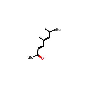 CCCCC(C)/C=C(C)/C=C/C(=O)C(C)(C)C